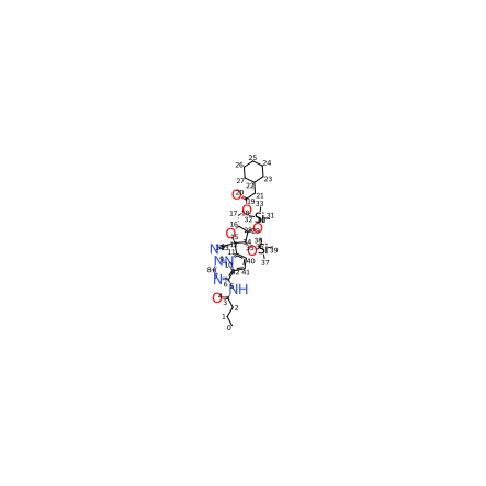 CCCC(=O)Nc1ncnn2c([C@]3(C#N)O[C@H](COC(=O)CC4CCCCC4)[C@@H](O[Si](C)(C)C)[C@H]3O[Si](C)(C)C)ccc12